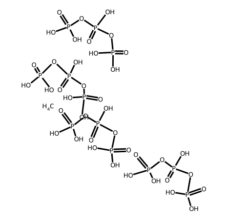 C.O=P(O)(O)OP(=O)(O)OP(=O)(O)O.O=P(O)(O)OP(=O)(O)OP(=O)(O)O.O=P(O)(O)OP(=O)(O)OP(=O)(O)O.O=P(O)(O)OP(=O)(O)OP(=O)(O)O